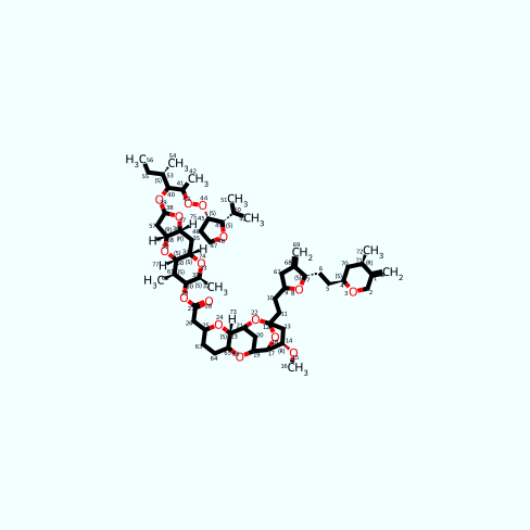 C=C1CO[C@@H](CC[C@@H]2OC(CCC34C[C@@H](OC)C(O3)C3CC(O4)[C@H]4OC(CC(=O)OC5[C@H](C)O[C@H]6C[C@H]7OC(OC(C(C)OO[C@H]8CCO[C@H]8C(C)C)[C@@H](C)CC)C[C@H]7O[C@H]6[C@@H]5C)CCC4O3)CC2=C)C[C@H]1C